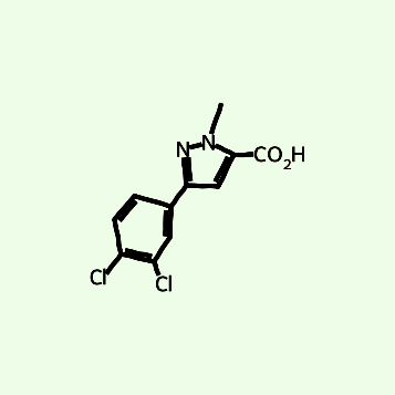 Cn1nc(-c2ccc(Cl)c(Cl)c2)cc1C(=O)O